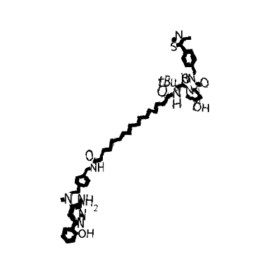 Cc1ncsc1-c1ccc(CNC(=O)[C@@H]2C[C@@H](O)CN2C(=O)[C@@H](NC(=O)CCCCCCCCCCCCCCCC(=O)NCc2ccc(CCN(C)c3cc(-c4ccccc4O)nnc3N)cc2)C(C)(C)C)cc1